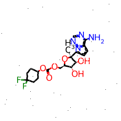 C[C@@]1(c2ccc3c(N)ncnn23)O[C@H](COC(=O)OC2CCC(F)(F)CC2)[C@@H](O)[C@H]1O